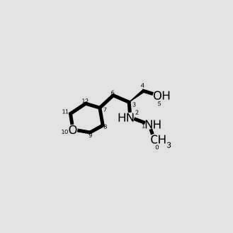 CNN[C@H](CO)CC1CCOCC1